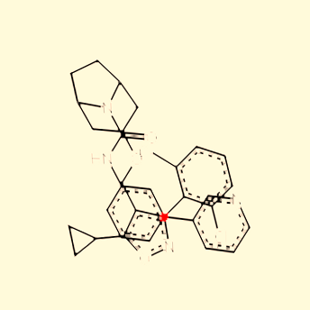 O=C(Nc1cccc(-c2cccnc2)c1)N1C2CCC1CC(OCc1c(-c3c(Cl)cccc3Cl)noc1C1CC1)C2